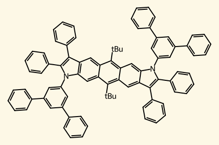 CC(C)(C)c1c2cc3c(-c4ccccc4)c(-c4ccccc4)n(-c4cc(-c5ccccc5)cc(-c5ccccc5)c4)c3cc2c(C(C)(C)C)c2cc3c(-c4ccccc4)c(-c4ccccc4)n(-c4cc(-c5ccccc5)cc(-c5ccccc5)c4)c3cc12